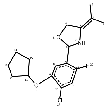 CC(C)=C1COC(c2cc(OC3CCCC3)c(Cl)cc2F)N1